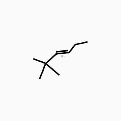 CC/C=C/C(C)(C)C